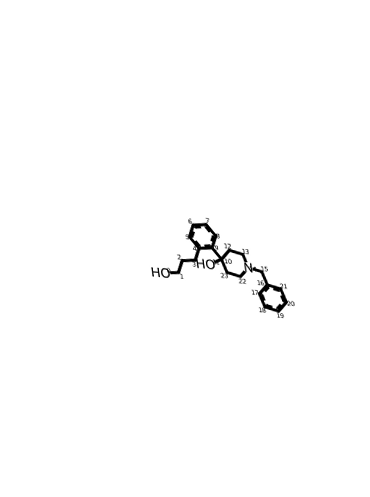 OCCCc1ccccc1C1(O)CCN(Cc2ccccc2)CC1